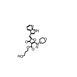 O=C(OCCCO)C1=C(NN2CCOCC2)OC(=Cc2c[nH]c3ncccc23)C1=O